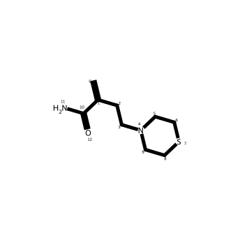 C=C(CCN1CCSCC1)C(N)=O